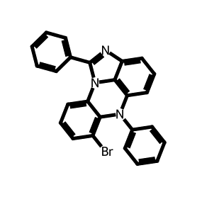 Brc1cccc2c1N(c1ccccc1)c1cccc3nc(-c4ccccc4)n-2c13